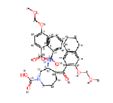 COCOc1ccc(C(=O)N[C@@H]2CN(C(=O)O)CCC[C@]2(OC(=O)c2ccccc2)C(=O)c2cc3c(cc2OCOC)CCCC3)cc1